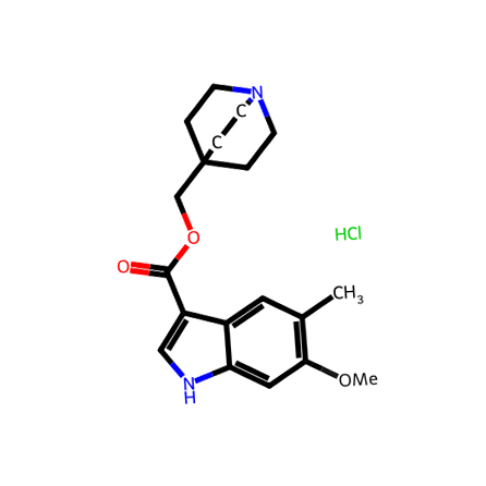 COc1cc2[nH]cc(C(=O)OCC34CCN(CC3)CC4)c2cc1C.Cl